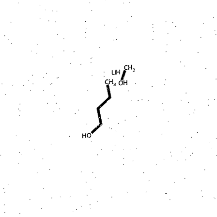 CCCCO.CO.[LiH]